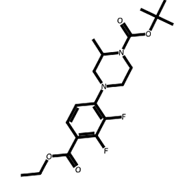 CCOC(=O)c1ccc(N2CCN(C(=O)OC(C)(C)C)C(C)C2)c(F)c1F